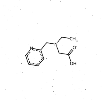 CCN(CC(=O)O)Cc1ccccn1